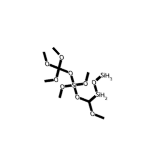 COC(O[Si](OC)(OC)OC(OC)(OC)OC)[SiH2]O[SiH3]